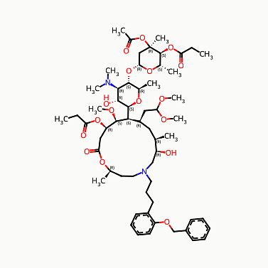 CCC(=O)O[C@@H]1CC(=O)O[C@H](C)CCN(CCCc2ccccc2OCc2ccccc2)C[C@H](O)[C@H](C)C[C@H](CC(OC)OC)[C@H]([C@@H]2O[C@H](C)[C@@H](O[C@@H]3C[C@@](C)(OC(C)=O)[C@@H](OC(=O)CC)[C@H](C)O3)[C@H](N(C)C)[C@H]2O)[C@@H]1OC